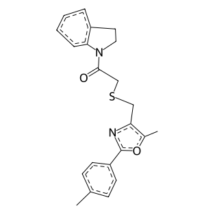 Cc1ccc(-c2nc(CSCC(=O)N3CCc4ccccc43)c(C)o2)cc1